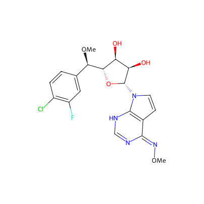 CON=c1nc[nH]c2c1ccn2[C@@H]1O[C@H]([C@H](OC)c2ccc(Cl)c(F)c2)[C@@H](O)[C@H]1O